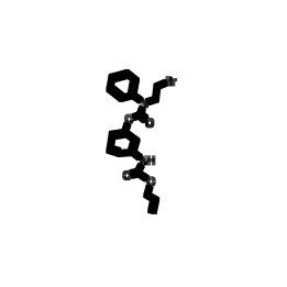 C=CCOC(=O)Nc1cccc(OC(=O)N(CCBr)c2ccccc2)c1